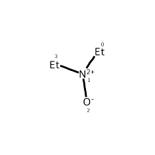 CC[N+2]([O-])CC